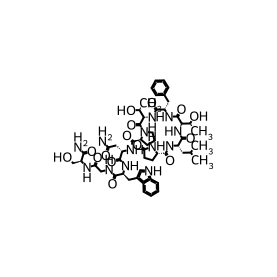 CC(C)C[C@H](NC(=O)[C@@H]1CCC(=O)N1)C(=O)N[C@H](C(=O)N[C@@H](Cc1ccccc1)C(=O)N[C@H](C(=O)N1CCC[C@H]1C(=O)N[C@@H](CC(N)=O)C(=O)N[C@@H](Cc1c[nH]c2ccccc12)C(=O)NCC(=O)N[C@@H](CO)C(N)=O)[C@@H](C)O)[C@@H](C)O